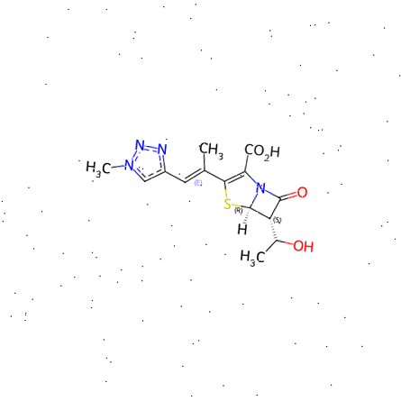 C/C(=C\c1cn(C)nn1)C1=C(C(=O)O)N2C(=O)[C@H](C(C)O)[C@H]2S1